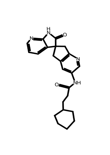 O=C(CCC1CCCCC1)Nc1cnc2c(c1)CC1(C2)C(=O)Nc2ncccc21